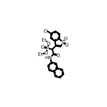 CCOP(=O)(OCC)C(C(=O)Nc1ccc2ccccc2c1)C1=CS(=O)(=O)c2ccc(Cl)cc21